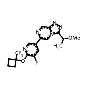 CO[C@@H](C)c1nnc2cnc(-c3cnc(OC4(C(F)(F)F)CCC4)c(F)c3)cn12